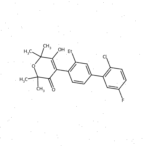 CCc1cc(-c2cc(F)ccc2Cl)ccc1C1=C(O)C(C)(C)OC(C)(C)C1=O